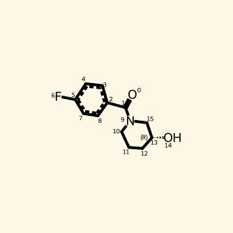 O=C(c1ccc(F)cc1)N1CCC[C@@H](O)C1